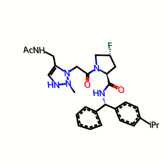 CC(=O)NCC1=CNN(C)N1CC(=O)N1C[C@H](F)C[C@H]1C(=O)N[C@@H](c1ccccc1)c1ccc(C(C)C)cc1